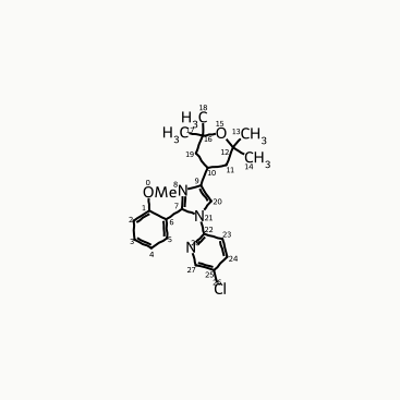 COc1ccccc1-c1nc(C2CC(C)(C)OC(C)(C)C2)cn1-c1ccc(Cl)cn1